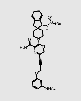 CC(=O)Nc1cccc(OCC#Cc2cnc(N3CCC4(CC3)Cc3ccccc3[C@H]4N[S+]([O-])C(C)(C)C)c(C(N)=O)n2)c1